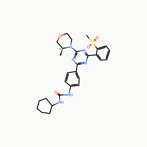 C[C@H]1COCCN1c1nc(-c2ccc(NC(=O)NC3CCCCC3)cc2)nc(-c2ccccc2S(C)(=O)=O)n1